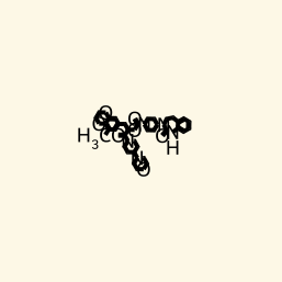 Cc1cc(CC(OC(=O)N2CCC(N3CCc4ccccc4NC3=O)CC2)C(=O)N2CCC(N3CCOCC3)CC2)cc2c1OCCO2